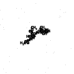 CCOC(=O)CCc1c(OCCCOc2cc(O)c(-c3ccc(F)cc3)cc2CC)ccc(CCCCC(=O)OC)c1O